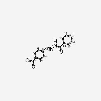 O=C(N/N=C/c1ccc([N+](=O)[O-])cc1)c1ccncc1